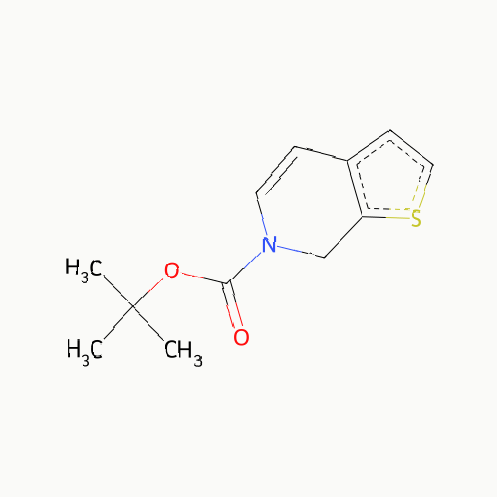 CC(C)(C)OC(=O)N1C=Cc2ccsc2C1